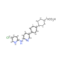 O=C(O)CC1CCC(c2ccc(-c3ccc(Nc4ccc(Cl)cn4)nc3)cc2)CC1